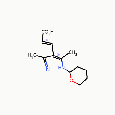 CC(=N)C(/C=C/C(=O)O)=C(/C)NC1CCCCO1